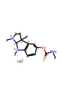 Br.CNC(=O)Oc1ccc2c(c1)C1(C)CCN(C)C1N2C